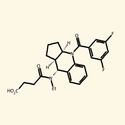 CCN(C(=O)CCC(=O)O)[C@H]1c2ccccc2N(C(=O)c2cc(F)cc(F)c2)[C@@H]2CCC[C@@H]21